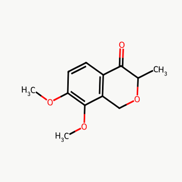 COc1ccc2c(c1OC)COC(C)C2=O